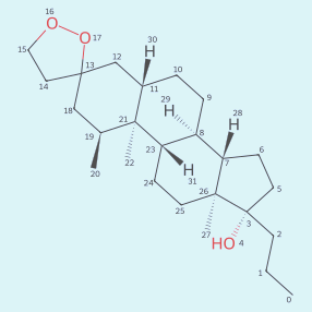 CCC[C@]1(O)CC[C@H]2[C@@H]3CC[C@H]4CC5(CCOO5)C[C@H](C)[C@]4(C)[C@H]3CC[C@@]21C